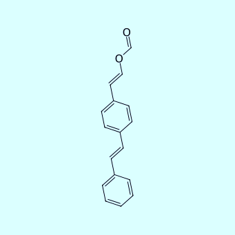 O=COC=Cc1ccc(C=Cc2ccccc2)cc1